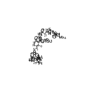 Cc1c(CCB2O[C@@H]3C[C@@H]4C[C@@H](C4(C)C)[C@]3(C)O2)ccc(OC2CN(C(=O)Cc3csc(NC(=O)OC(C)(C)C)n3)C2)c1C(=O)OC(C)(C)C